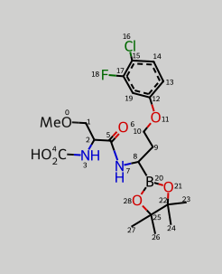 COCC(NC(=O)O)C(=O)NC(CCOc1ccc(Cl)c(F)c1)B1OC(C)(C)C(C)(C)O1